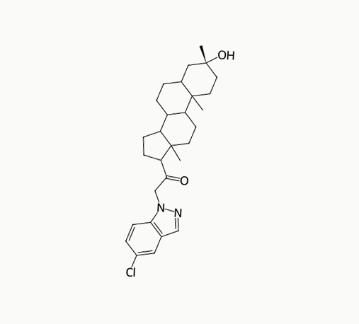 CC12CC[C@@](C)(O)CC1CCC1C2CCC2(C)C(C(=O)Cn3ncc4cc(Cl)ccc43)CCC12